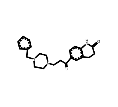 O=C1CCc2cc(C(=O)CCN3CCN(Cc4ccccc4)CC3)ccc2N1